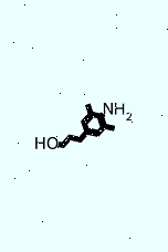 Cc1cc(CCCO)cc(C)c1N